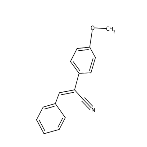 COc1ccc(C(C#N)=Cc2ccccc2)cc1